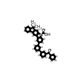 CC1(C)c2ccccc2-c2cc3c4cc(-c5cccc(-c6cccc(C(=O)c7ccccc7)c6)c5)ccc4n(C(=O)O)c3cc21